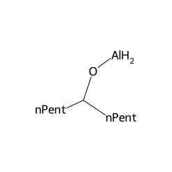 CCCCCC(CCCCC)[O][AlH2]